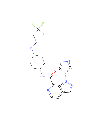 O=C(NC1CCC(NCCC(F)(F)F)CC1)c1nccc2cnn(-n3ccnc3)c12